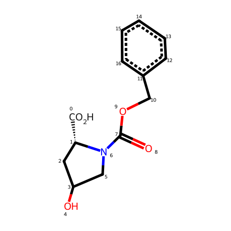 O=C(O)[C@H]1CC(O)CN1C(=O)OCc1ccccc1